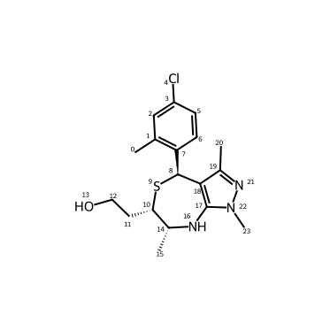 Cc1cc(Cl)ccc1[C@@H]1S[C@@H](CCO)[C@@H](C)Nc2c1c(C)nn2C